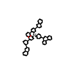 c1ccc(-c2ccc(-c3ccc4ccccc4c3)cc2N(c2ccc(-c3cccc(-c4ccc5ccccc5c4)c3)cc2)c2ccc(-c3cc4ccccc4c4ccccc34)cc2)cc1